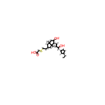 CC[C@@H]1CC[C@@H](CC(O)C=C[C@H]2[C@@H]3CC(CCSCC(=O)O)C[C@@H]3C[C@@H]2O)C1